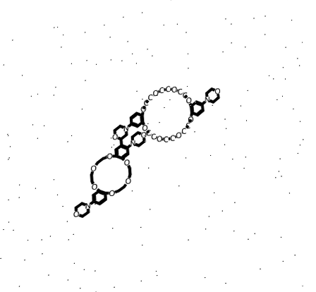 c1cc2c(cc1N1CCOCC1)OCCOCCOCCOc1ccc(N3CCOC(c4cc5c(cc4N4CCOCC4)OCCOCCOc4ccc(N6CCOCC6)cc4OCCOCCO5)C3)cc1OCCOCCOCCO2